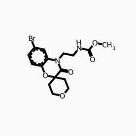 COC(=O)NCCN1C(=O)C2(CCOCC2)Oc2ccc(Br)cc21